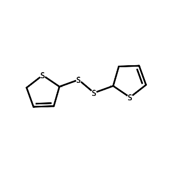 C1=C[C](SS[C]2CC=CS2)SC1